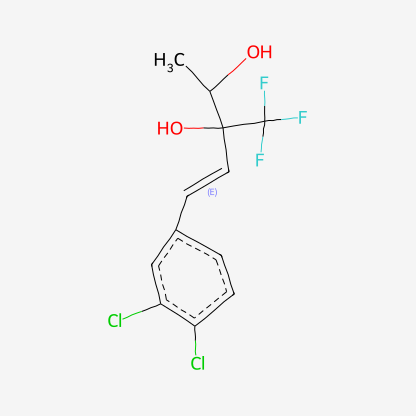 CC(O)C(O)(/C=C/c1ccc(Cl)c(Cl)c1)C(F)(F)F